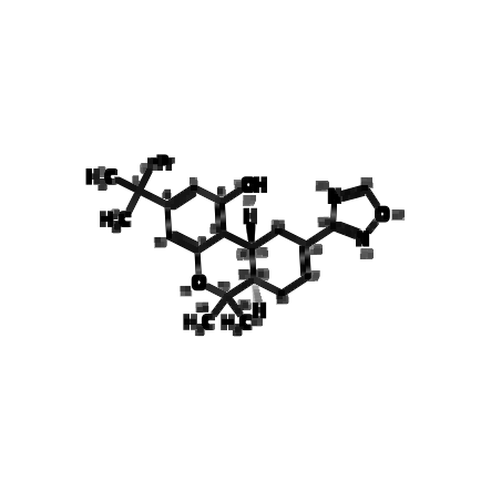 CCCC(C)(C)c1cc(O)c2c(c1)OC(C)(C)[C@@H]1CC=C(c3ncon3)C[C@@H]21